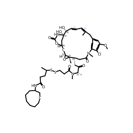 COc1cc2cc(c1Cl)N(C)C(=O)C[C@H](CC(=O)[C@H](C)N(C)C(=O)CCSSC(C)CCC(=O)NC1CCCCCCCC1)[C@]1(C)O[C@H]1C[C@@H]1C[C@@](O)(NC(=O)O1)[C@H](O)/C=C/C=C(\C)C2